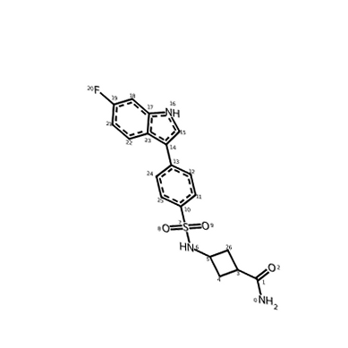 NC(=O)C1CC(NS(=O)(=O)c2ccc(-c3c[nH]c4cc(F)ccc34)cc2)C1